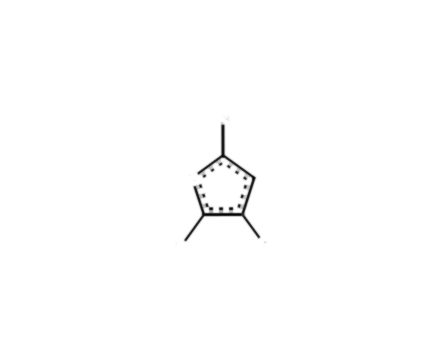 CC(=O)c1cc(Br)sc1Br